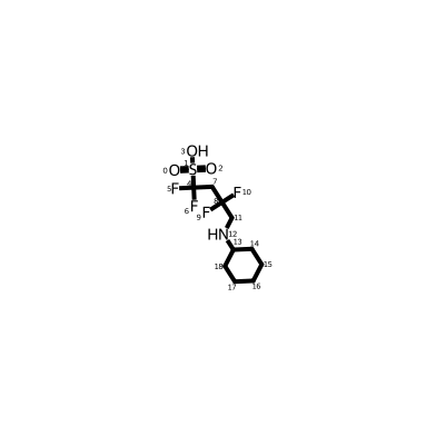 O=S(=O)(O)C(F)(F)CC(F)(F)CNC1CCCCC1